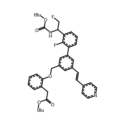 CC(C)(C)OC(=O)Cc1ccccc1OCc1cc(C=Cc2ccncc2)cc(-c2cccc(C(CF)NC(=O)OC(C)(C)C)c2F)c1